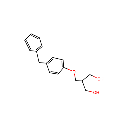 OCC(CO)COc1ccc(Cc2ccccc2)cc1